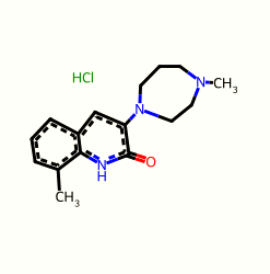 Cc1cccc2cc(N3CCCN(C)CC3)c(=O)[nH]c12.Cl